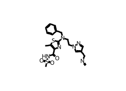 C=NCc1cnn(CCN(Cc2ccccc2)c2nc(C(=O)NS(C)(=O)=O)c(C)s2)c1